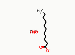 CCCCCCCCCCC(=O)[O-].[Ga+3].[OH-].[OH-]